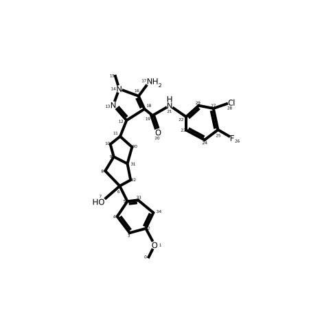 COc1ccc(C2(O)CC3CC(c4nn(C)c(N)c4C(=O)Nc4ccc(F)c(Cl)c4)CC3C2)cc1